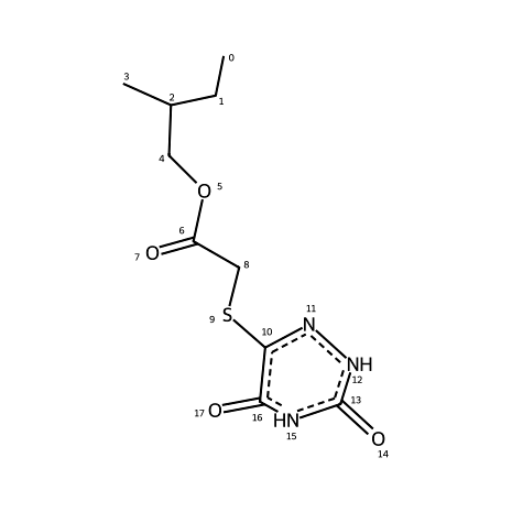 CCC(C)COC(=O)CSc1n[nH]c(=O)[nH]c1=O